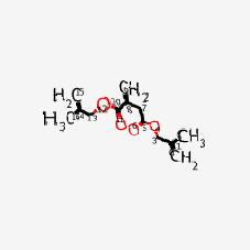 C=C(C)COC(=O)CC(=C)C(=O)OCC(=C)C